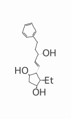 CC[C@@H]1[C@@H](/C=C/[C@@H](O)CCc2ccccc2)[C@H](O)C[C@@H]1O